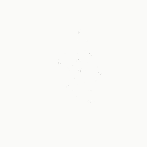 COc1cc(Cl)cc(-c2cncc(-c3nc4c(F)cc(F)cc4[nH]3)c2N2CC(CN)C2)c1